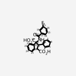 O=C(O)CC(c1ccccc1)C(NC(=O)c1cccc(F)c1)(C(=O)O)c1ccccc1